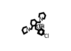 OC1(Cc2ccc(Cl)cc2Cl)C(CN2CCCCC2)CCCC1CN1CCCCC1